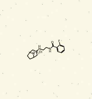 CCOC(=O)N1C2CCC1CC(NCCNC(=O)c1ccccc1F)C2